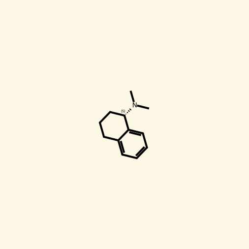 CN(C)[C@H]1CCCc2ccccc21